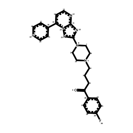 O=C(CCCN1CCN(c2nc3nccc(-c4ccncc4)n3n2)CC1)c1ccc(F)cc1